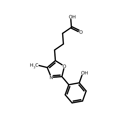 Cc1nc(-c2ccccc2O)oc1CCCC(=O)O